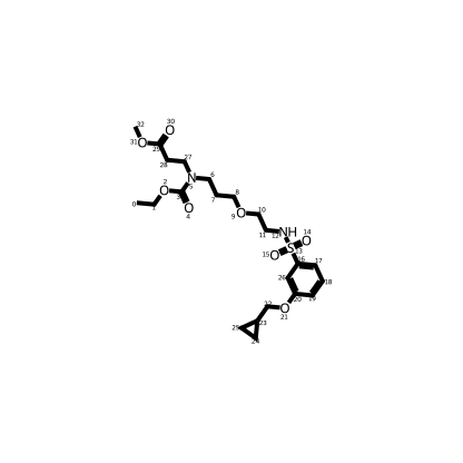 CCOC(=O)N(CCCOCCNS(=O)(=O)c1cccc(OCC2CC2)c1)CCC(=O)OC